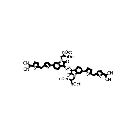 [C-]#[N+]C([N+]#[C-])=c1cc/c(=C\c2ccc(-c3ccc4c(c3)N(CC(CCCCCCCC)CCCCCCCCCC)C(=O)/C4=N\N=C3/C(=O)N(CC(CCCCCCCC)CCCCCCCCCC)c4cc(-c5ccc(/C=c6\ccc(=C(C#N)C#N)s6)s5)ccc43)s2)s1